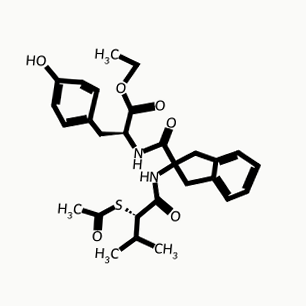 CCOC(=O)[C@H](Cc1ccc(O)cc1)NC(=O)C1(NC(=O)[C@@H](SC(C)=O)C(C)C)Cc2ccccc2C1